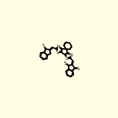 S=C1/C(=C/c2nc3c(s2)-c2sc(C=C4C(=S)c5ccccc5C4=S)nc2C32CCCCC2)Cc2ccccc21